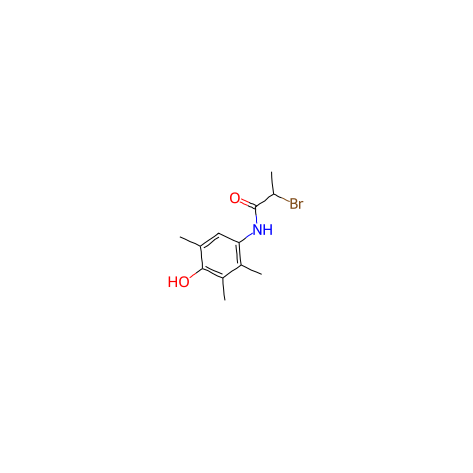 Cc1cc(NC(=O)C(C)Br)c(C)c(C)c1O